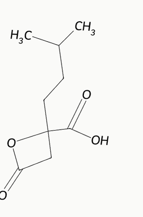 CC(C)CCC1(C(=O)O)CC(=O)O1